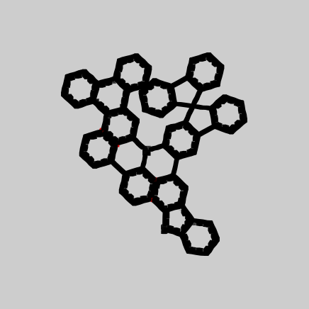 c1ccc(-c2ccccc2N(c2ccc3c4ccccc4c4ccccc4c3c2)c2cc3c(cc2-c2ccc4sc5ccccc5c4c2)-c2ccccc2C32c3ccccc3-c3ccccc32)cc1